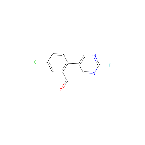 O=Cc1cc(Cl)ccc1-c1cnc(F)nc1